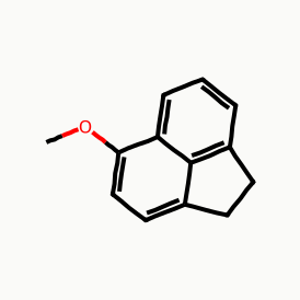 COc1ccc2c3c(cccc13)CC2